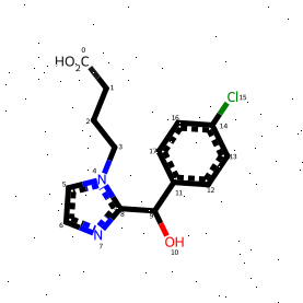 O=C(O)CCCn1ccnc1C(O)c1ccc(Cl)cc1